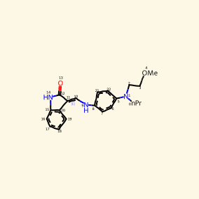 CCCN(CCOC)c1ccc(N/C=C2/C(=O)Nc3ccccc32)cc1